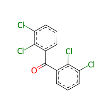 O=C(c1cccc(Cl)c1Cl)c1cccc(Cl)c1Cl